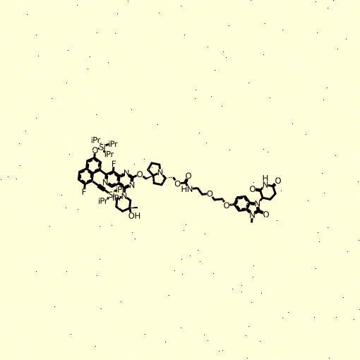 CC(C)[Si](C#Cc1c(F)ccc2cc(O[Si](C(C)C)(C(C)C)C(C)C)cc(-c3ncc4c(N5CCC[C@@](C)(O)C5)nc(OC[C@@]56CCCN5[C@H](COC(=O)NCCOCCOc5ccc7c(c5)n(C)c(=O)n7C5CCC(=O)NC5=O)CC6)nc4c3F)c12)(C(C)C)C(C)C